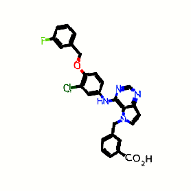 O=C(O)c1cccc(Cn2ccc3ncnc(Nc4ccc(OCc5cccc(F)c5)c(Cl)c4)c32)c1